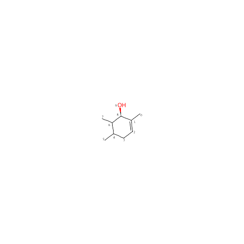 CC1=CCC(C)C(C)[C@H]1O